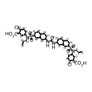 C=CCN(c1ccc(Cl)c(C(=O)O)c1)S(=O)(=O)c1ccc2ccc(NC(=O)Nc3ccc4ccc(S(=O)(=O)N(CC=C)c5ccc(Cl)c(C(=O)O)c5)cc4c3)cc2c1